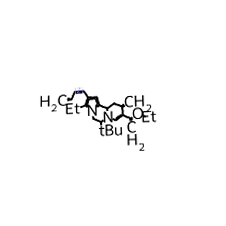 C=C/C=C\c1cc2n(c1CC)CC(C(C)(C)C)N1C=C(C(=C)OCC)C(=C)CC21